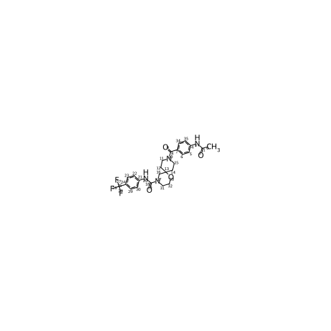 CC(=O)Nc1ccc(C(=O)N2CCC3(CC2)CN(C(=O)Nc2ccc(C(F)(F)F)cc2)CCO3)cc1